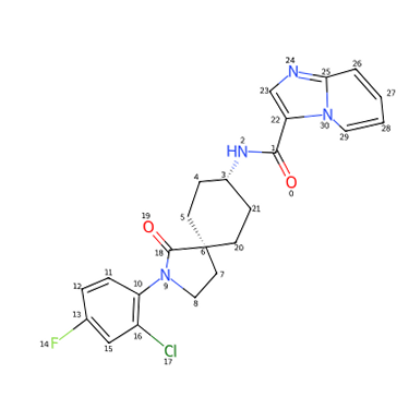 O=C(N[C@H]1CC[C@@]2(CCN(c3ccc(F)cc3Cl)C2=O)CC1)c1cnc2ccccn12